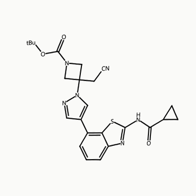 CC(C)(C)OC(=O)N1CC(CC#N)(n2cc(-c3cccc4nc(NC(=O)C5CC5)sc34)cn2)C1